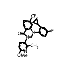 COc1ccc(N2CN(c3ccc(F)cc3C3CC3)c3cc(C(F)(F)F)ccc3C2=O)c(C)n1